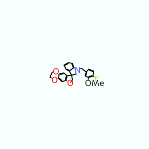 COc1cc(CN2CC3(COc4cc5c(cc43)OCCO5)c3ccccc32)ccc1F